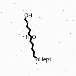 CCCCCCCCCCCCCCCCCCO.O